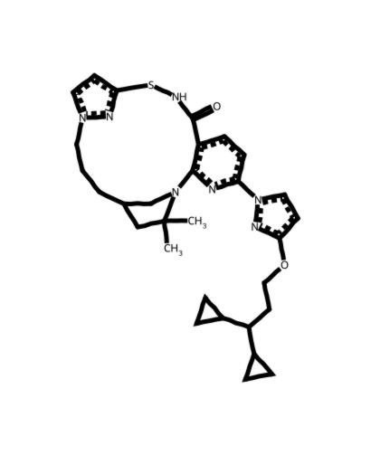 CC1(C)CC2CCCn3ccc(n3)SNC(=O)c3ccc(-n4ccc(OCCC(C5CC5)C5CC5)n4)nc3N1C2